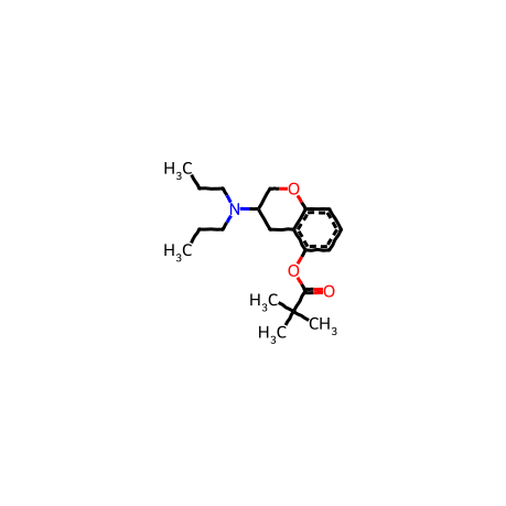 CCCN(CCC)C1COc2cccc(OC(=O)C(C)(C)C)c2C1